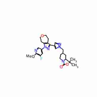 COc1ncc(-n2nc(-c3cnn(CC4CCN5C(=O)OC(C)(C)C5C4)c3)c3c2CCOCC3)cc1F